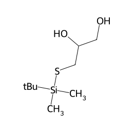 CC(C)(C)[Si](C)(C)SCC(O)CO